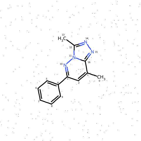 Cc1cc(-c2ccccc2)nn2c(C)nnc12